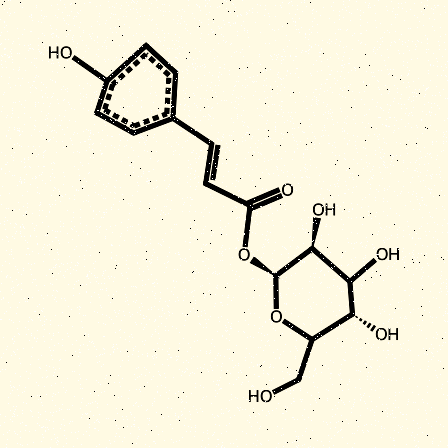 O=C(/C=C/c1ccc(O)cc1)O[C@@H]1OC(CO)[C@@H](O)C(O)[C@@H]1O